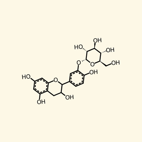 OC[C@H]1O[C@H](Oc2cc(C3Oc4cc(O)cc(O)c4CC3O)ccc2O)[C@H](O)[C@@H](O)[C@@H]1O